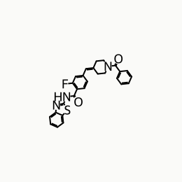 O=C(Nc1nc2ccccc2s1)c1ccc(C=C2CCN(C(=O)c3ccccc3)CC2)cc1F